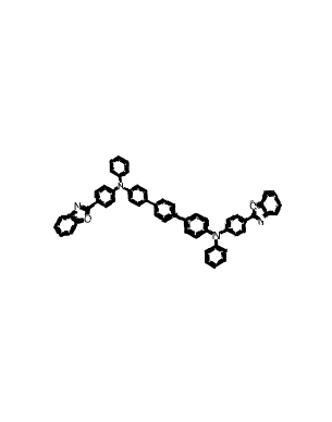 c1ccc(N(c2ccc(-c3ccc(-c4ccc(N(c5ccccc5)c5ccc(-c6nc7ccccc7o6)cc5)cc4)cc3)cc2)c2ccc(-c3nc4ccccc4o3)cc2)cc1